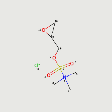 C[N+](C)(C)S(=O)(=O)OCC1CO1.[Cl-]